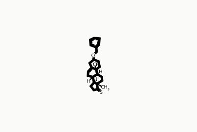 C[C@]12CCC(OCc3ccccc3)CC1=CC[C@@H]1[C@@H]2CC[C@]2(C)C(=S)CC[C@@H]12